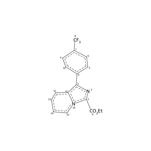 CCOC(=O)c1nc(-c2ccc(C(F)(F)F)cc2)c2ccccn12